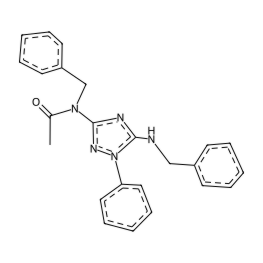 CC(=O)N(Cc1ccccc1)c1nc(NCc2ccccc2)n(-c2ccccc2)n1